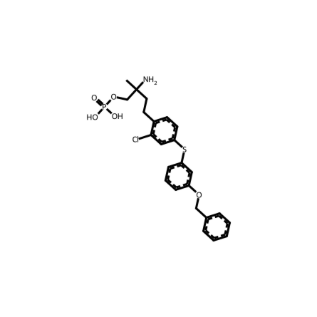 CC(N)(CCc1ccc(Sc2cccc(OCc3ccccc3)c2)cc1Cl)COP(=O)(O)O